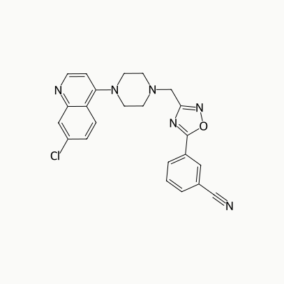 N#Cc1cccc(-c2nc(CN3CCN(c4ccnc5cc(Cl)ccc45)CC3)no2)c1